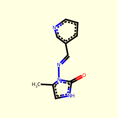 Cc1c[nH]c(=O)n1/N=C/c1cccnc1